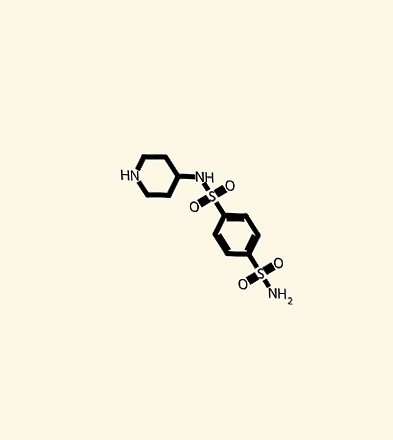 NS(=O)(=O)c1ccc(S(=O)(=O)NC2CCNCC2)cc1